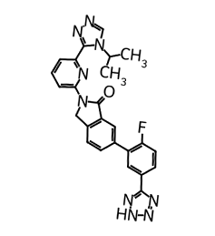 CC(C)n1cnnc1-c1cccc(N2Cc3ccc(-c4cc(-c5nn[nH]n5)ccc4F)cc3C2=O)n1